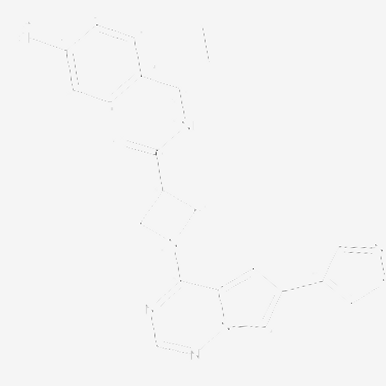 CC[C@H](NC(=O)C1CN(c2ncnn3cc(-c4cn[nH]c4)cc23)C1)c1ccc(Cl)cc1